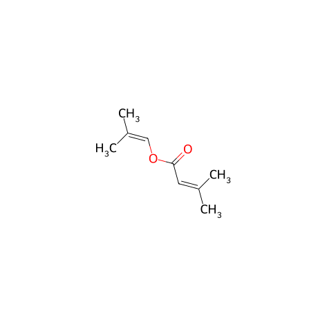 CC(C)=COC(=O)C=C(C)C